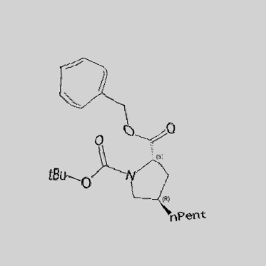 CCCCC[C@@H]1C[C@@H](C(=O)OCc2ccccc2)N(C(=O)OC(C)(C)C)C1